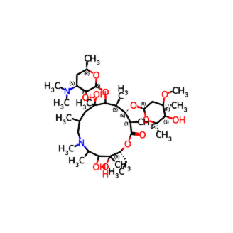 CC[C@H]1OC(=O)[C@H](C)[C@@H](O[C@H]2C[C@@](C)(OC)[C@@H](O)[C@H](C)O2)[C@H](C)C(O[C@@H]2O[C@H](C)C[C@H](N(C)C)[C@H]2O)C(C)(O)CC(C)CN(C)C(C)C(O)C1(C)O